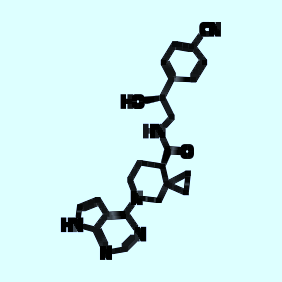 N#Cc1ccc([C@H](O)CNC(=O)[C@@H]2CCN(c3ncnc4[nH]ccc34)CC23CC3)cc1